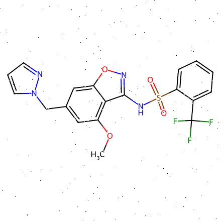 COc1cc(Cn2cccn2)cc2onc(NS(=O)(=O)c3ccccc3C(F)(F)F)c12